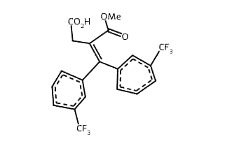 COC(=O)C(CC(=O)O)=C(c1cccc(C(F)(F)F)c1)c1cccc(C(F)(F)F)c1